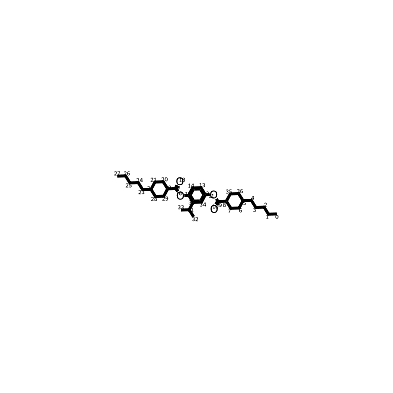 CCCCCC1CCC(C(=O)Oc2ccc(OC(=O)C3CCC(CCCCC)CC3)c(C(C)C)c2)CC1